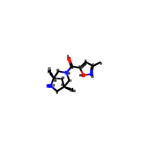 Cc1cc(C(=O)N2C[C@@H]3CN[C@@H](C3)C2)on1